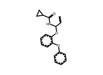 C=CC(NC(=O)C1CC1)Oc1ccccc1Oc1ccccc1